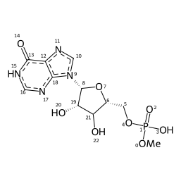 COP(=O)(O)OC[C@H]1O[C@@H](n2cnc3c(=O)[nH]cnc32)[C@@H](O)C1O